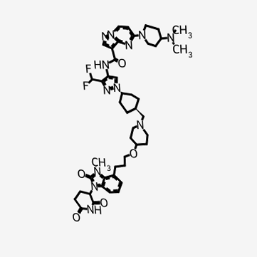 CN(C)C1CCN(c2ccn3ncc(C(=O)Nc4cn([C@H]5CC[C@H](CN6CCC(OCCCc7cccc8c7n(C)c(=O)n8C7CCC(=O)NC7=O)CC6)CC5)nc4C(F)F)c3n2)CC1